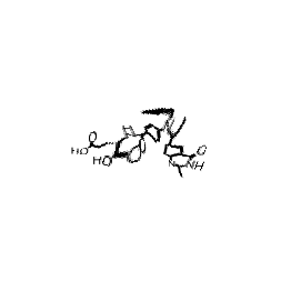 C#CCN(c1ccc(C(=O)N[C@@H](CCC(=O)O)C(=O)O)cc1)C(C)c1ccc2nc(C)[nH]c(=O)c2c1